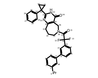 CC(C)c1cccc(-c2cccc(C(F)(F)C(=O)N3CCCc4nc(C5(c6ccccc6)CC5)[nH]c(=O)c4C3)c2)c1